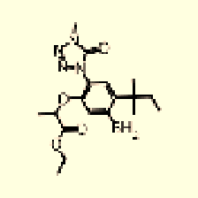 Bc1cc(OC(C)C(=O)OCC)c(-n2nnn(C)c2=O)cc1C(C)(C)CC